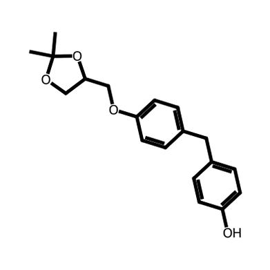 CC1(C)OCC(COc2ccc(Cc3ccc(O)cc3)cc2)O1